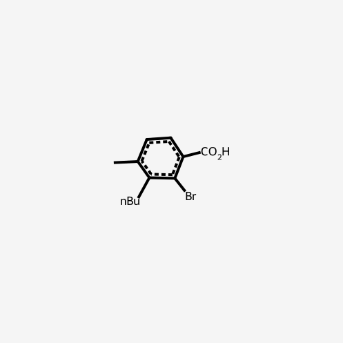 CCCCc1c(C)ccc(C(=O)O)c1Br